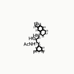 CC(=O)N[C@@H](Cc1cc(F)cc(F)c1)[C@@H](O)CN[C@H]1CCCc2ccc(CC(C)(C)C)cc21